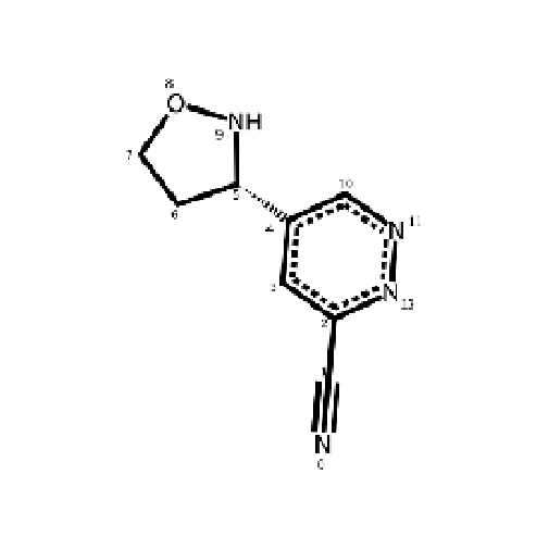 N#Cc1cc([C@@H]2CCON2)cnn1